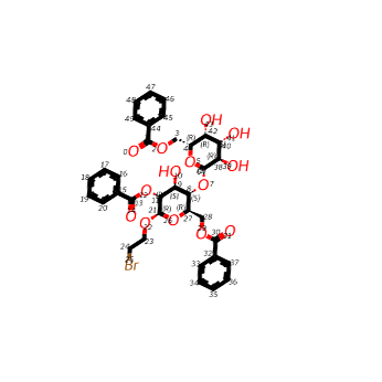 O=C(OC[C@H]1O[C@@H](O[C@H]2[C@H](O)[C@@H](OC(=O)c3ccccc3)[C@H](OCCBr)O[C@@H]2COC(=O)c2ccccc2)[C@H](O)[C@@H](O)[C@H]1O)c1ccccc1